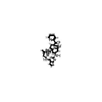 Cc1cc(Nc2nc(N[C@@H]3C[C@H]4CCC5(C(=O)c6ccccn6)C[C@@H](C3)N45)nc3sccc23)n[nH]1